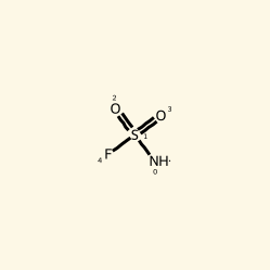 [NH]S(=O)(=O)F